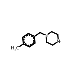 Cc1ccc(CN2CC[N]CC2)cc1